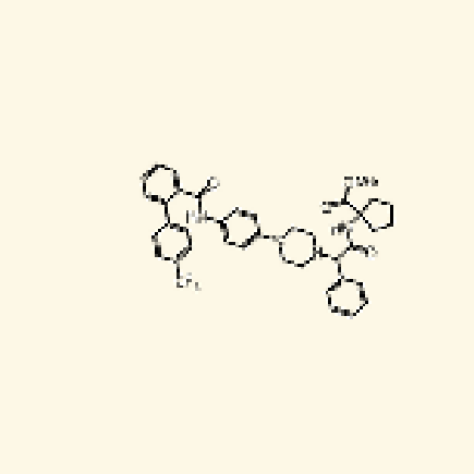 COC(=O)C1(NC(=O)C(c2ccccc2)N2CCN(c3ccc(NC(=O)c4ccccc4-c4ccc(C(F)(F)F)cc4)cc3)CC2)CCCC1